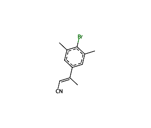 C/C(=C\C#N)c1cc(C)c(Br)c(C)c1